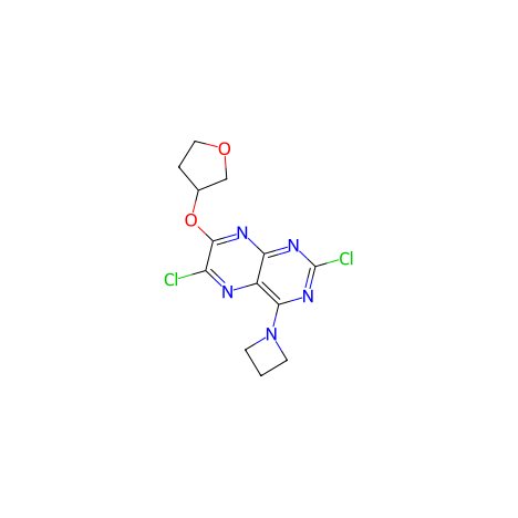 Clc1nc(N2CCC2)c2nc(Cl)c(OC3CCOC3)nc2n1